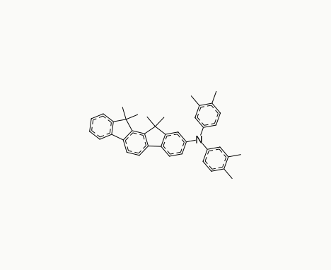 Cc1ccc(N(c2ccc(C)c(C)c2)c2ccc3c(c2)C(C)(C)c2c-3ccc3c2C(C)(C)c2ccccc2-3)cc1C